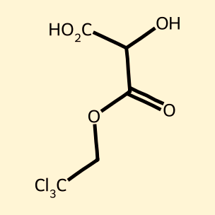 O=C(O)C(O)C(=O)OCC(Cl)(Cl)Cl